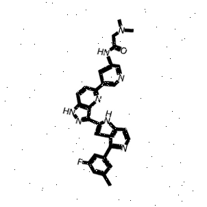 Cc1cc(F)cc(-c2nccc3[nH]c(-c4n[nH]c5ccc(-c6cncc(NC(=O)CN(C)C)c6)nc45)cc23)c1